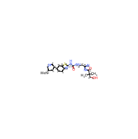 CNc1cncc(-c2ccc3nc(NC(=O)NCCc4noc(C(C)(C)CO)n4)sc3c2)c1